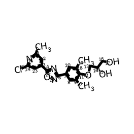 Cc1cc(-c2nc(-c3cc(C)c(OC[C@@H](O)CO)c(C)c3)no2)cc(Cl)n1